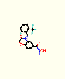 O=C(NO)c1ccc2c(c1)N(Cc1c(F)cccc1C(F)(F)F)C(=O)CO2